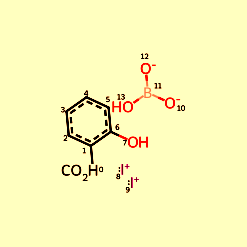 O=C(O)c1ccccc1O.[I+].[I+].[O-]B([O-])O